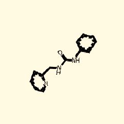 O=C(NCc1ccccn1)Nc1ccccc1